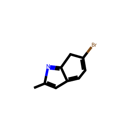 CC1=CC2=CC=C(Br)CC2=N1